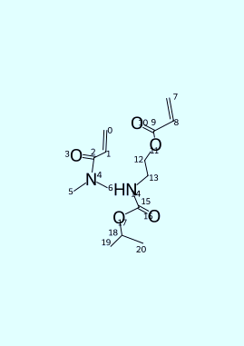 C=CC(=O)N(C)C.C=CC(=O)OCCNC(=O)OC(C)C